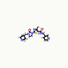 Cc1nc(N2CCN(Cc3ccncc3)C2=O)sc1C(=O)NCc1cccnc1